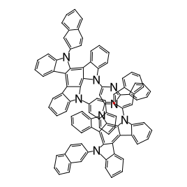 c1ccc(-c2nc(-n3c4ccccc4c4c5c(c6ccccc6n5-c5ccc6ccccc6c5)c5c6ccccc6n(-c6ccc7ccccc7c6)c5c43)cc(-n3c4ccccc4c4c5c(c6ccccc6n5-c5ccc6ccccc6c5)c5c6ccccc6n(-c6ccc7ccccc7c6)c5c43)n2)cc1